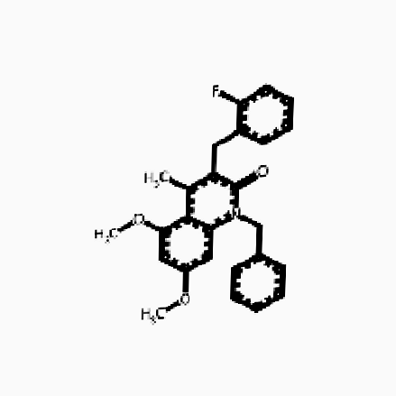 COc1cc(OC)c2c(C)c(Cc3ccccc3F)c(=O)n(Cc3ccccc3)c2c1